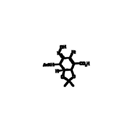 CCC1=C(C(=O)O)C2OC(C)(C)O[C@H]2C(NC(C)=O)C1=NO